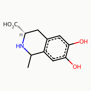 CC1N[C@H](C(=O)O)Cc2cc(O)c(O)cc21